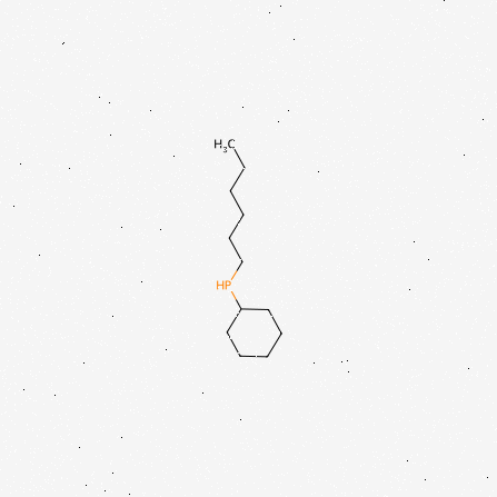 CCCCCCPC1CCCCC1